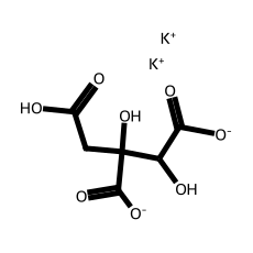 O=C(O)CC(O)(C(=O)[O-])C(O)C(=O)[O-].[K+].[K+]